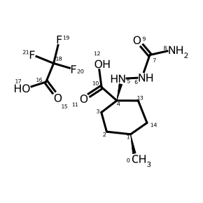 C[C@H]1CC[C@](NNC(N)=O)(C(=O)O)CC1.O=C(O)C(F)(F)F